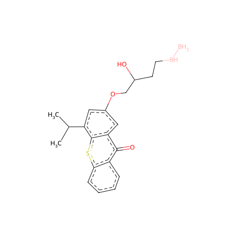 BBCCC(O)COc1cc(C(C)C)c2sc3ccccc3c(=O)c2c1